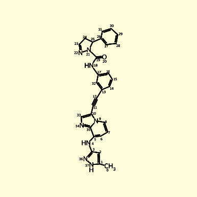 Cc1cc(Nc2cccn3c(C#Cc4cccc(NC(=O)N5N=CCC5c5ccccc5)c4)cnc23)n[nH]1